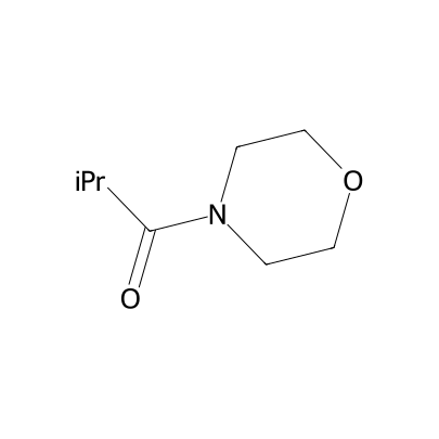 CC(C)C(=O)N1CCOCC1